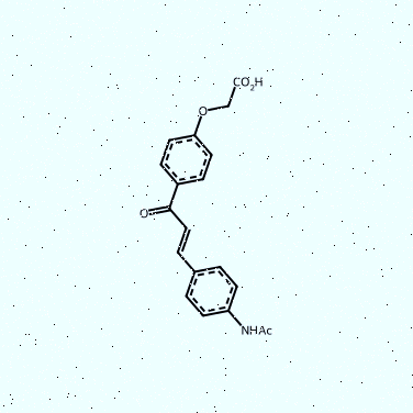 CC(=O)Nc1ccc(C=CC(=O)c2ccc(OCC(=O)O)cc2)cc1